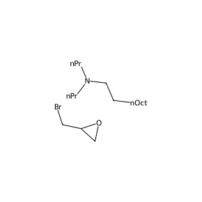 BrCC1CO1.CCCCCCCCCCN(CCC)CCC